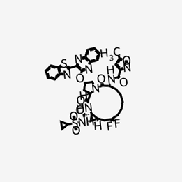 Cc1cc(C(=O)N[C@H]2CCCCCC(F)(F)C[C@@H]3C[C@@]3(C(=O)NS(=O)(=O)C3CC3)NC(=O)[C@@H]3C[C@@H](Oc4nc5ccccc5nc4-c4nc5ccccc5s4)CN3C2=O)no1